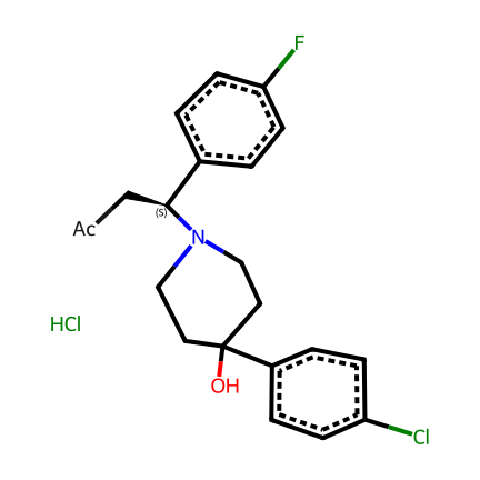 CC(=O)C[C@@H](c1ccc(F)cc1)N1CCC(O)(c2ccc(Cl)cc2)CC1.Cl